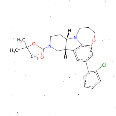 CC(C)(C)OC(=O)N1CC[C@H]2[C@@H](C1)c1cc(-c3ccccc3Cl)cc3c1N2CCCO3